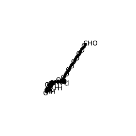 O=CCOCCOCCOCCOCCOCCOCCOCCOCCOc1cc(Cl)cc(NC(=O)NCc2ccc3c(c2)CN(C2CCC(=O)NC2=O)C3=O)c1